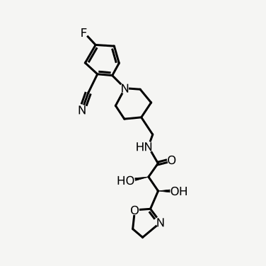 N#Cc1cc(F)ccc1N1CCC(CNC(=O)[C@H](O)[C@@H](O)C2=NCCO2)CC1